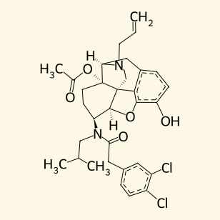 C=CCN1CC[C@]23c4c5ccc(O)c4O[C@H]2[C@@H](N(CC(C)C)C(=O)Cc2ccc(Cl)c(Cl)c2)CC[C@@]3(OC(C)=O)[C@H]1C5